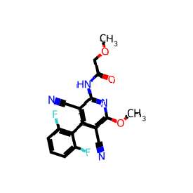 COCC(=O)Nc1nc(OC)c(C#N)c(-c2c(F)cccc2F)c1C#N